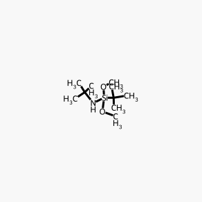 CO[Si](NC(C)(C)C)(OC)C(C)(C)C